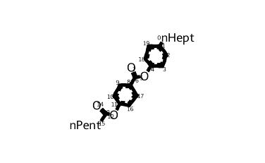 CCCCCCCc1ccc(OC(=O)c2ccc(OC(=O)CCCCC)cc2)cc1